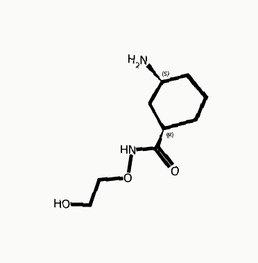 N[C@H]1CCC[C@@H](C(=O)NOCCO)C1